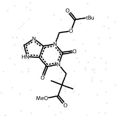 COC(=O)C(C)(C)Cn1c(=O)c2[nH]cnc2n(COC(=O)C(C)(C)C)c1=O